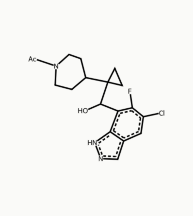 CC(=O)N1CCC(C2(C(O)c3c(F)c(Cl)cc4cn[nH]c34)CC2)CC1